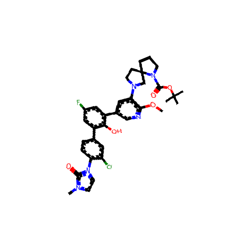 COc1ncc(-c2cc(F)cc(-c3ccc(-n4ccn(C)c4=O)c(Cl)c3)c2O)cc1N1CCC2(CCCN2C(=O)OC(C)(C)C)C1